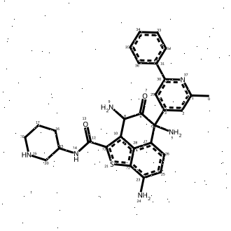 Cc1cc(C2(N)C(=O)C(N)c3c(C(=O)NC4CCCNC4)sc4c(N)ccc2c34)cc(-c2ccccc2)n1